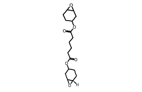 O=C(CCCCC(=O)OC1CC[C@@H]2OC2C1)OC1CCC2OC2C1